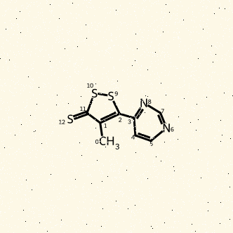 Cc1c(-c2ccncn2)ssc1=S